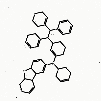 C1=CCCC(C(C2C=C(N(C3=CC4C(C=C3)OC3CCC=CC34)C3CC=CCC3)CCC2)C(C2=CCCCC2)c2ccccc2)=C1